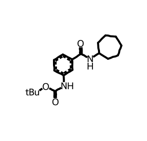 CC(C)(C)OC(=O)Nc1cccc(C(=O)NC2CCCCCC2)c1